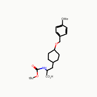 COc1ccc(COC2CCC(CC(NC(=O)OC(C)(C)C)C(=O)O)CC2)cc1